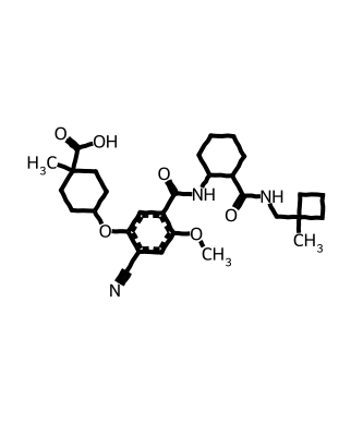 COc1cc(C#N)c(OC2CCC(C)(C(=O)O)CC2)cc1C(=O)NC1CCCCC1C(=O)NCC1(C)CCC1